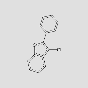 Clc1c(-c2ccccc2)sc2ccccc12